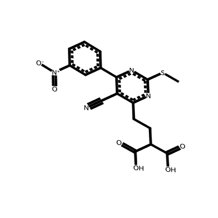 CSc1nc(CCC(C(=O)O)C(=O)O)c(C#N)c(-c2cccc([N+](=O)[O-])c2)n1